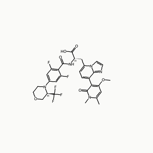 COc1cc(C)n(C)c(=O)c1-c1ccc(C[C@H](NC(=O)c2c(F)cc(N3CCOC[C@@H]3C(F)(F)F)cc2F)C(=O)O)n2ccnc12